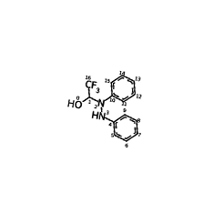 OC(N(Nc1ccccc1)c1ccccc1)C(F)(F)F